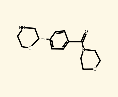 O=C(c1ccc([C@H]2CNCCO2)cc1)N1CCOCC1